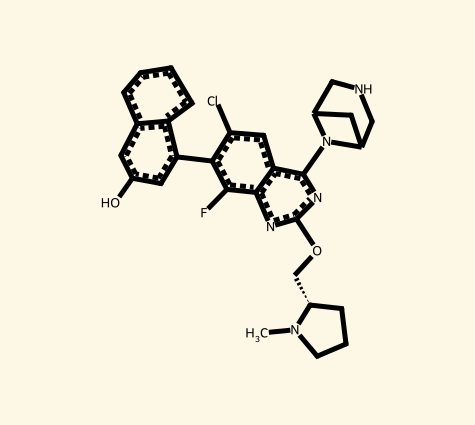 CN1CCC[C@H]1COc1nc(N2C3CNCC2C3)c2cc(Cl)c(-c3cc(O)cc4ccccc34)c(F)c2n1